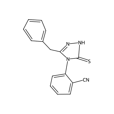 N#Cc1ccccc1-n1c(Cc2ccccc2)n[nH]c1=S